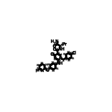 CC(C)[C@H](NC(=O)c1cn(Cc2ccc(Cl)cc2)c(Nc2ccc(Oc3cccc(F)n3)cc2)nc1=O)C(N)=O